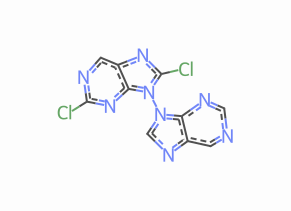 Clc1ncc2nc(Cl)n(-n3cnc4cncnc43)c2n1